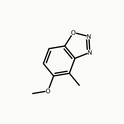 COc1ccc2onnc2c1C